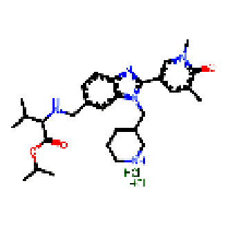 Cc1cc(-c2nc3ccc(CNC(C(=O)OC(C)C)C(C)C)cc3n2CC2CCCNC2)cn(C)c1=O.Cl.Cl